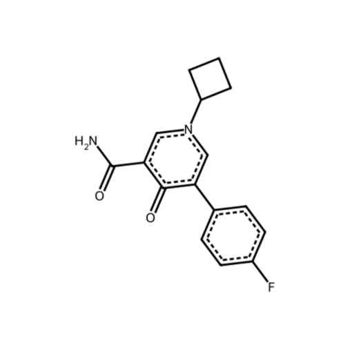 NC(=O)c1cn(C2CCC2)cc(-c2ccc(F)cc2)c1=O